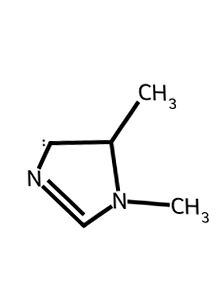 CC1[C]N=CN1C